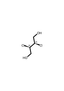 OC[C@@H](Cl)[C@H](Cl)CO